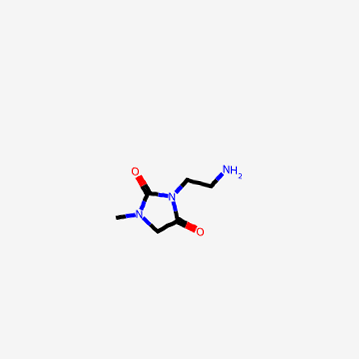 CN1CC(=O)N(CCN)C1=O